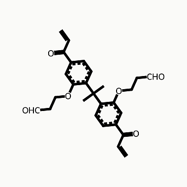 C=CC(=O)c1ccc(C(C)(C)c2ccc(C(=O)C=C)cc2OCCC=O)c(OCCC=O)c1